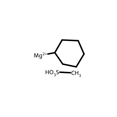 CS(=O)(=O)O.[Mg+2][CH]1CCCCC1